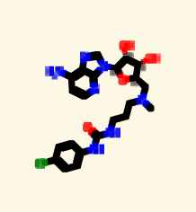 CN(CCCNC(=O)Nc1ccc(Cl)cc1)C[C@H]1O[C@@H](n2cnc3c(N)ccnc32)[C@H](O)[C@@H]1O